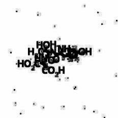 C[C@@H](O)[C@H](NC(=O)[C@@H](N)Cc1ccc(O)cc1)C(=O)N[C@@H](CC(=O)O)C(=O)O